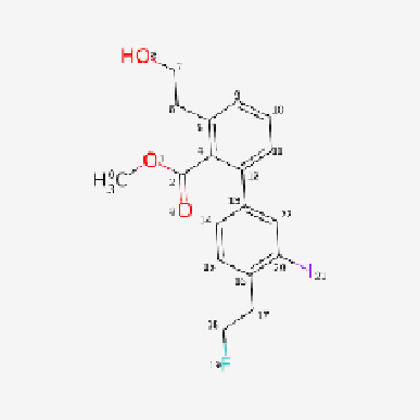 COC(=O)c1c(CCO)cccc1-c1ccc(CCF)c(I)c1